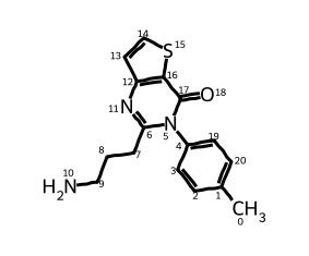 Cc1ccc(-n2c(CCCN)nc3ccsc3c2=O)cc1